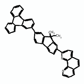 CC1(C)c2cc(-c3ccc4c5ccccc5c5ccccc5c4c3)ccc2-c2ccc(-c3ccc4ccc5cccnc5c4n3)cc21